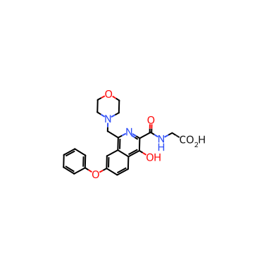 O=C(O)CNC(=O)c1nc(CN2CCOCC2)c2cc(Oc3ccccc3)ccc2c1O